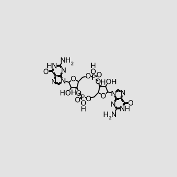 Nc1nc2c(ncn2C2OC3COP(=O)(O)O[C@H]4C(COP(=O)(O)O[C@@H]3C2O)OC(n2cnc3c(=O)[nH]c(N)nc32)C4O)c(=O)[nH]1